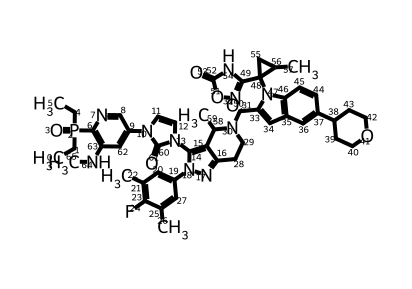 CCP(=O)(CC)c1ncc(-n2ccn(-c3c4c(nn3-c3cc(C)c(F)c(C)c3)CCN(C(=O)c3cc5cc(C6CCOCC6)ccc5n3C3(c5noc(=O)[nH]5)CC3C)C4C)c2=O)cc1NC